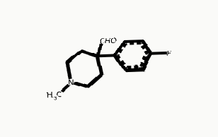 CN1CCC(C=O)(c2ccc(F)cc2)CC1